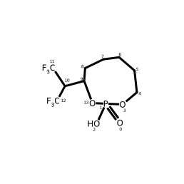 O=P1(O)OCCCCCC(C(C(F)(F)F)C(F)(F)F)O1